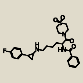 O=C(N[C@@H](CCCCNC1C[C@H]1c1ccc(F)cc1)C(=O)N1CCS(=O)(=O)CC1)c1ccccc1